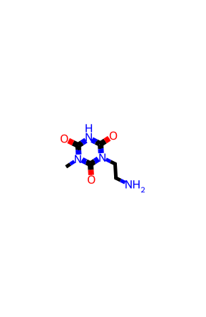 Cn1c(=O)[nH]c(=O)n(CCN)c1=O